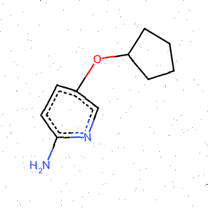 Nc1ccc(OC2CCCC2)cn1